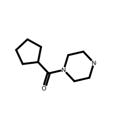 O=C(C1CCCC1)N1CC[N]CC1